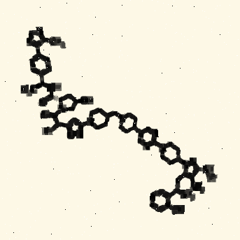 Cc1ncsc1-c1ccc([C@H](C)NC(=O)[C@@H]2C[C@@H](O)CN2C(=O)C(c2cc(N3CCC(CN4CCC(c5cnc(N6CCC(n7nc(NC(C)C)c(N)c7/C=C(\N)c7ccccc7O)CC6)nc5)CC4)CC3)no2)C(C)C)cc1